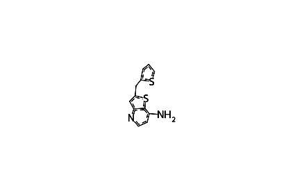 Nc1ccnc2cc(Cc3cccs3)sc12